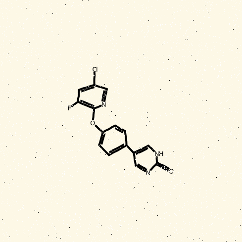 O=c1ncc(-c2ccc(Oc3ncc(Cl)cc3F)cc2)c[nH]1